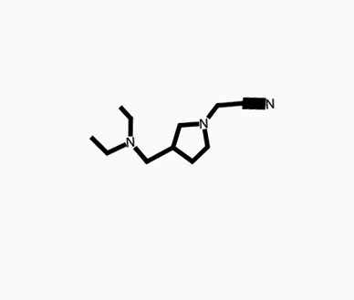 CCN(CC)CC1CCN(CC#N)C1